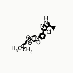 CN(C)CCCS(=O)(=O)N1CCN(c2cccc(-c3cnc4[nH]cc(C5CC5)c4c3Cl)c2)C(=O)C1